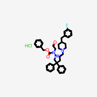 Cl.O=CCN(NCC(CCCN1CCC(Cc2cccc(F)c2)CC1)(c1ccccc1)c1ccccc1)C(=O)OCc1ccccc1